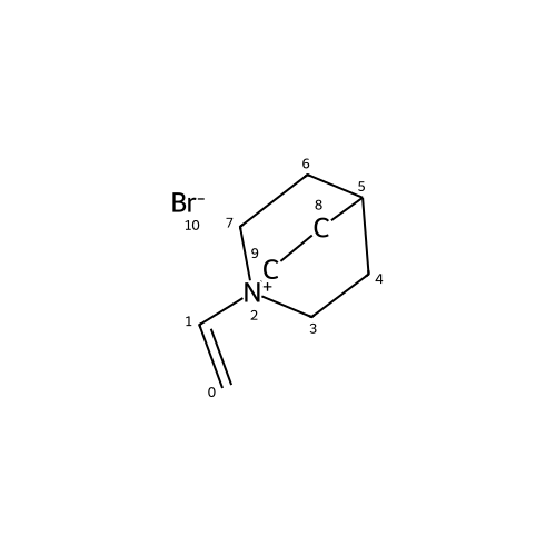 C=C[N+]12CCC(CC1)CC2.[Br-]